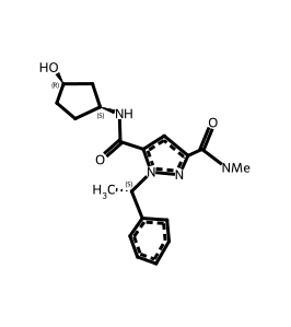 CNC(=O)c1cc(C(=O)N[C@H]2CC[C@@H](O)C2)n([C@@H](C)c2ccccc2)n1